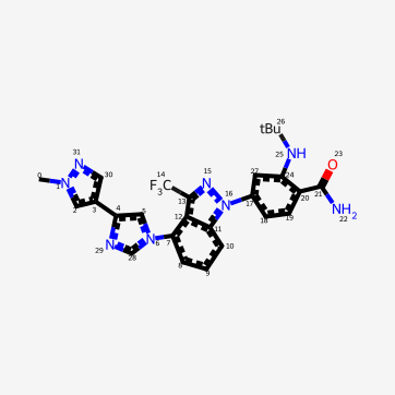 Cn1cc(-c2cn(-c3cccc4c3c(C(F)(F)F)nn4-c3ccc(C(N)=O)c(NC(C)(C)C)c3)cn2)cn1